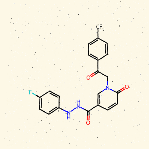 O=C(Cn1cc(C(=O)NNc2ccc(F)cc2)ccc1=O)c1ccc(C(F)(F)F)cc1